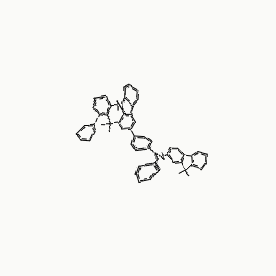 CC1(C)c2ccccc2-c2ccc(N(c3ccccc3)c3ccc(-c4cc5c6c(c4)c4ccccc4n6-c4cccc(-c6ccccc6)c4C5(C)C)cc3)cc21